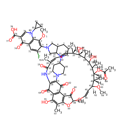 COc1c(N2CC3CCCN(C4CCN(C5=C6NC(=O)/C(C)=C\C=C\[C@H](C)[C@H](O)[C@@H](C)[C@@H](O)[C@@H](C)[C@H](OC(C)=O)[C@H](C)[C@@H](OC)/C=C/O[C@@]7(C)Oc8c(C)c(O)c(c(c8C7=O)C5=O)C6=O)CC4)C3C2)c(F)cc2c(=O)c(C(=O)O)cn(C3CC3)c12